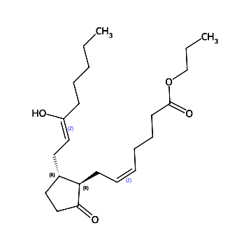 CCCCC/C(O)=C/C[C@H]1CCC(=O)[C@@H]1C/C=C\CCCC(=O)OCCC